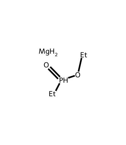 CCO[PH](=O)CC.[MgH2]